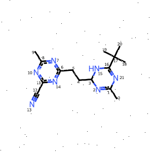 CC1=NC(CCc2nc(C)nc(C#N)n2)NC(C(C)(C)C)=N1